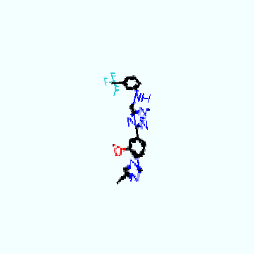 COc1cc(-c2nc(CNc3cccc(C(F)(F)F)c3)n(C)n2)ccc1-n1cnc(C)c1